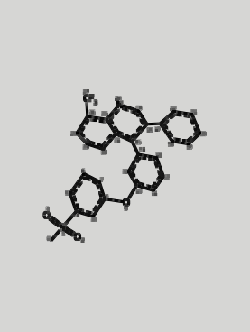 CS(=O)(=O)c1cccc(Oc2cccc(-c3c(-c4ccccc4)cnc4c(C(F)(F)F)cccc34)c2)c1